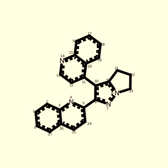 c1ccc2nc(-c3nn4c(c3-c3ccnc5ccccc35)CCC4)ccc2c1